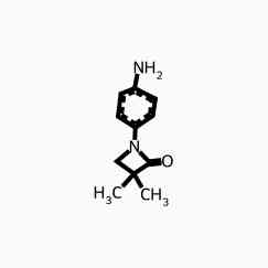 CC1(C)CN(c2ccc(N)cc2)C1=O